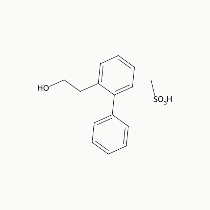 CS(=O)(=O)O.OCCc1ccccc1-c1ccccc1